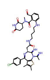 CC(=N)N1C(=N)[C@H](CC(=O)NCCCCNc2cccc(C=O)c2C(=O)N(C)C2CCC(=O)NC2=O)N=C(c2ccc(Cl)cc2)c2c1sc(C)c2C